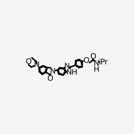 CC(C)NC(=O)COc1ccc(-c2nc3cc(N4Cc5cc(N6CCOCC6)ccc5C4=O)ccc3[nH]2)cc1